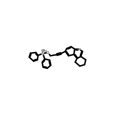 CC(C)(C)[Si](OCC#Cc1ccc2ncc3c(c2c1)CCCC3)(c1ccccc1)c1ccccc1